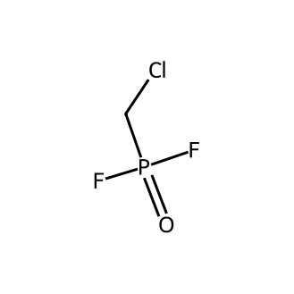 O=P(F)(F)CCl